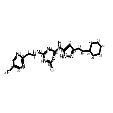 Fc1cnc(CCNc2nc(Cl)nc(Nc3cc(CCC4CCCCC4)n[nH]3)n2)nc1